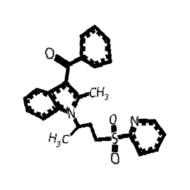 Cc1c(C(=O)c2ccccc2)c2ccccc2n1C(C)CCS(=O)(=O)c1ccccn1